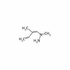 C=C/C(C)=C\N(C)N